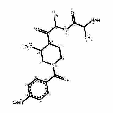 CNC(C)C(=O)NC(C(=O)N1CCN(C(=O)c2ccc(NC(C)=O)cc2)CC1C(=O)O)C(C)C